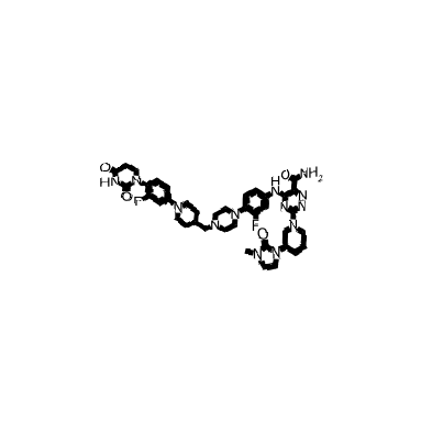 CN1CCN(C2CCCN(c3nnc(C(N)=O)c(Nc4ccc(N5CCN(CC6CCN(c7ccc(N8CCC(=O)NC8=O)c(F)c7)CC6)CC5)c(F)c4)n3)C2)C1=O